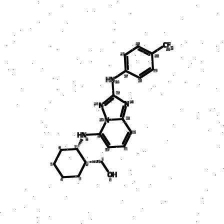 OC[C@@H]1CCCC[C@@H]1Nc1cccc2nc(Nc3ccc(C(F)(F)F)cc3)nn12